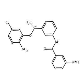 CNc1cccc(C(=O)Nc2cccc([C@@H](C)Oc3cc(Cl)cnc3N)c2)c1